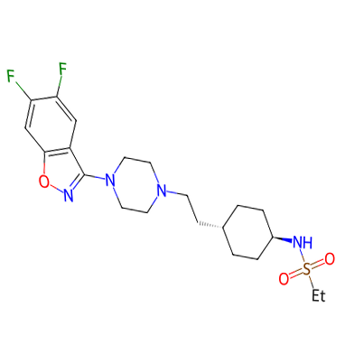 CCS(=O)(=O)N[C@H]1CC[C@H](CCN2CCN(c3noc4cc(F)c(F)cc34)CC2)CC1